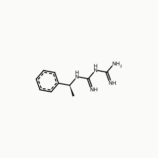 C[C@H](NC(=N)NC(=N)N)c1ccccc1